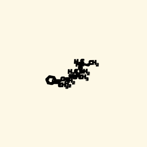 C=C[SiH](C)O[SiH2][Si](C)(C)O[SiH2][SiH2]O[SiH](C)c1ccccc1